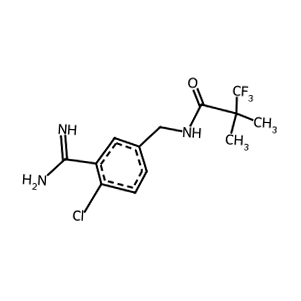 CC(C)(C(=O)NCc1ccc(Cl)c(C(=N)N)c1)C(F)(F)F